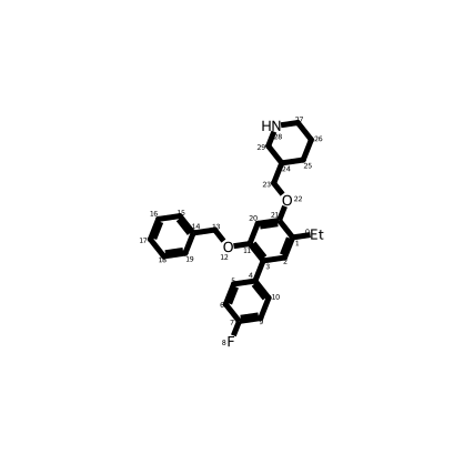 CCc1cc(-c2ccc(F)cc2)c(OCc2ccccc2)cc1OCC1CCCNC1